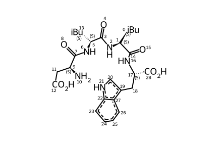 CC[C@H](C)[C@H](NC(=O)[C@@H](NC(=O)[C@@H](N)CC(=O)O)[C@@H](C)CC)C(=O)N[C@@H](Cc1c[nH]c2ccccc12)C(=O)O